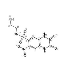 O=c1[nH]c2cc([N+](=O)[O-])c(S(=O)(=O)NCCO)cc2[nH]c1=O